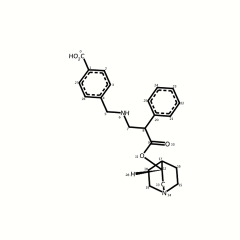 O=C(O)c1ccc(CNCC(C(=O)O[C@H]2CN3CCC2CC3)c2ccccc2)cc1